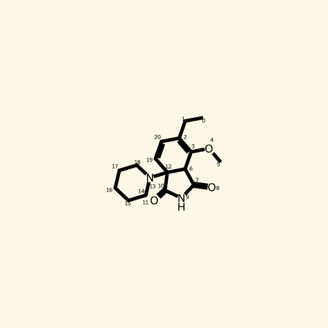 CCC1=C(OC)C2C(=O)NC(=O)C2(N2CCCCC2)C=C1